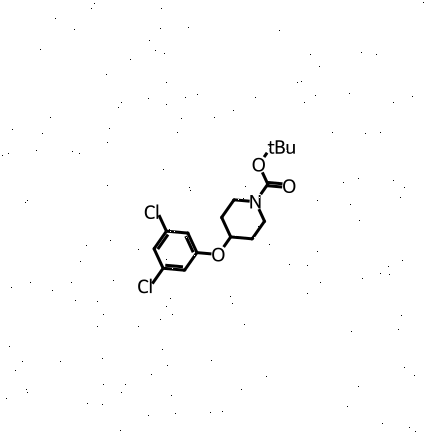 CC(C)(C)OC(=O)N1CCC(Oc2cc(Cl)cc(Cl)c2)CC1